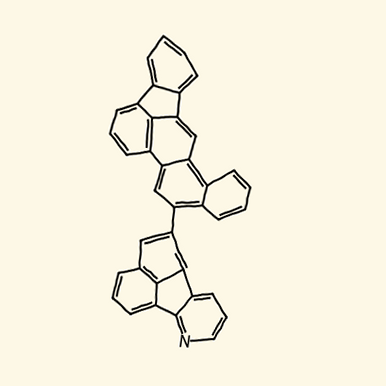 c1ccc2c(c1)-c1cccc3c1c-2cc1c2ccccc2c(-c2cc4c5c(cccc5c2)-c2ncccc2-4)cc31